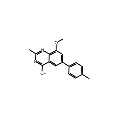 COc1cc(-c2ccc(F)cc2)cc2c(O)nc(C)nc12